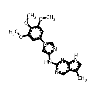 COc1cc(-n2cnc(Nc3ncc4c(C)c[nH]c4n3)c2)cc(OC)c1OC